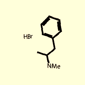 Br.CNC(C)Cc1ccccc1